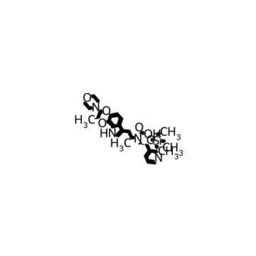 CC[Si](CC)(CC)O[C@@H](CN(C(=O)O)[C@H](C)Cc1c[nH]c2c(O[C@H](C)C(=O)N3CCOCC3)cccc12)c1cccnc1